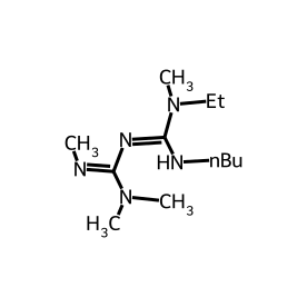 CCCCN/C(=N\C(=N/C)N(C)C)N(C)CC